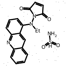 CCN(c1cccc2nc3ccccc3cc12)N1C(=O)C=CC1=O.N[SH](=O)=O